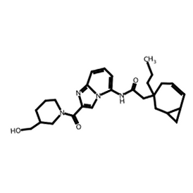 CCCC1(CC(=O)Nc2cccc3nc(C(=O)N4CCCC(CO)C4)cn23)CC=CC2CC2C1